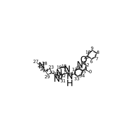 Cc1cc(Oc2ccccc2)nc2cc(Nc3nccn4c(C5CC(CN(C)C)C5)ncc34)ccc12